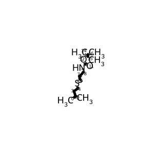 CC(C)CCSSCCNC(=O)OC(C)(C)C